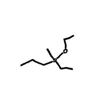 CCC[Si](C)(CC)OCC